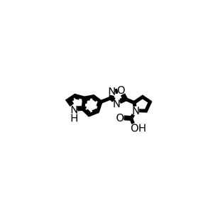 O=C(O)N1CCCC1c1nc(-c2ccc3[nH]ccc3c2)no1